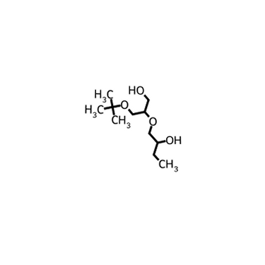 CCC(O)COC(CO)COC(C)(C)C